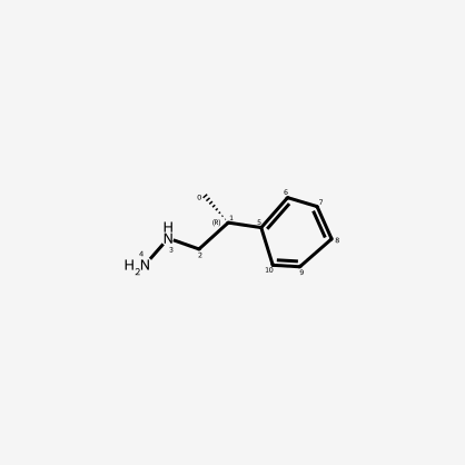 C[C@@H](CNN)c1ccccc1